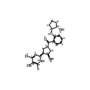 CCC1=N/C(=C2\CN(C(=O)c3ccccc3O[C@H]3CCC[C@@H]3O)CC2=N)NC(C)=C1Cl